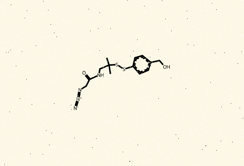 CC(C)(CNC(=O)CN=[N+]=[N-])SSc1ccc(CO)cc1